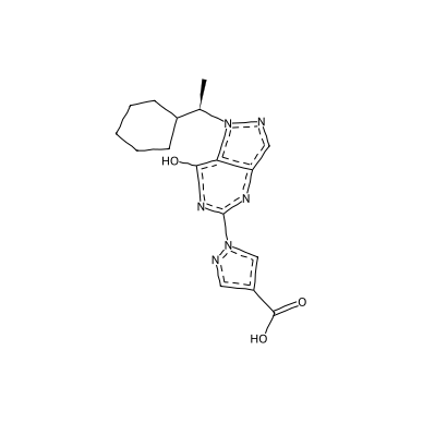 C[C@H](C1CCCCC1)n1ncc2nc(-n3cc(C(=O)O)cn3)nc(O)c21